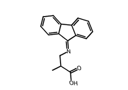 CC(CN=C1c2ccccc2-c2ccccc21)C(=O)O